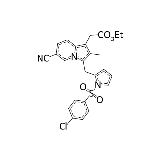 CCOC(=O)Cc1c(C)c(Cc2cccn2S(=O)(=O)c2ccc(Cl)cc2)n2cc(C#N)ccc12